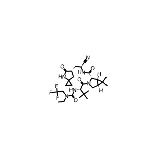 CCN(CC(F)(F)F)C(=O)N[C@H](C(=O)N1C[C@H]2[C@@H]([C@H]1C(=O)N[C@H](C#N)C[C@@H]1CC3(CC3)NC1=O)C2(C)C)C(C)(C)C